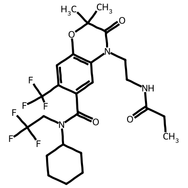 CCC(=O)NCCN1C(=O)C(C)(C)Oc2cc(C(F)(F)F)c(C(=O)N(CC(F)(F)F)C3CCCCC3)cc21